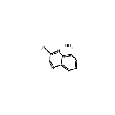 N.Nc1cnc2ccccc2n1